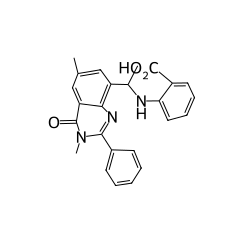 Cc1cc(C(C)Nc2ccccc2C(=O)O)c2nc(-c3ccccc3)n(C)c(=O)c2c1